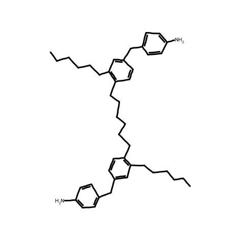 CCCCCCc1cc(Cc2ccc(N)cc2)ccc1CCCCCCc1ccc(Cc2ccc(N)cc2)cc1CCCCCC